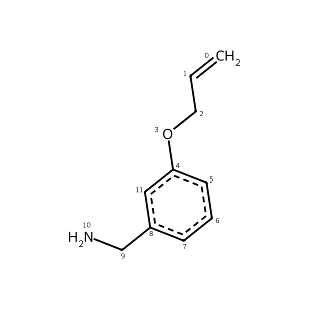 C=CCOc1[c]ccc(CN)c1